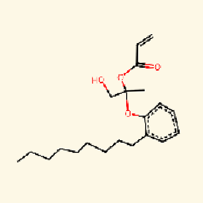 C=CC(=O)OC(C)(CO)Oc1ccccc1CCCCCCCCC